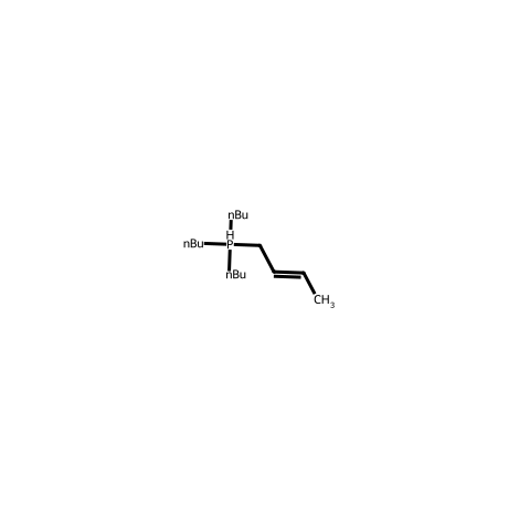 CC=CC[PH](CCCC)(CCCC)CCCC